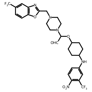 O=CC(OC1CCC(Nc2ccc([N+](=O)[O-])c(C(F)(F)F)c2)CC1)N1CCN(Cc2nc3cc(C(F)(F)F)ccc3o2)CC1